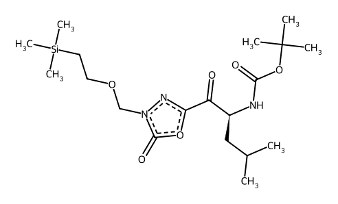 CC(C)C[C@H](NC(=O)OC(C)(C)C)C(=O)c1nn(COCC[Si](C)(C)C)c(=O)o1